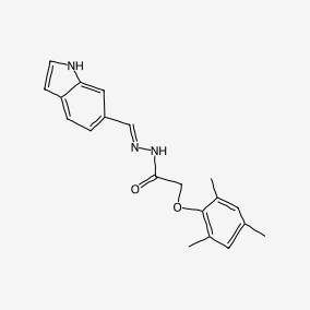 Cc1cc(C)c(OCC(=O)NN=Cc2ccc3cc[nH]c3c2)c(C)c1